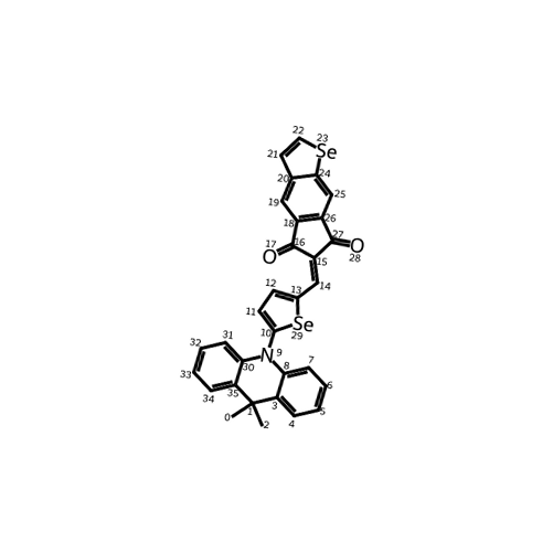 CC1(C)c2ccccc2N(c2ccc(/C=C3\C(=O)c4cc5cc[se]c5cc4C3=O)[se]2)c2ccccc21